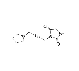 CN1CC(=O)N(CC#CCN2CCCC2)C1=O